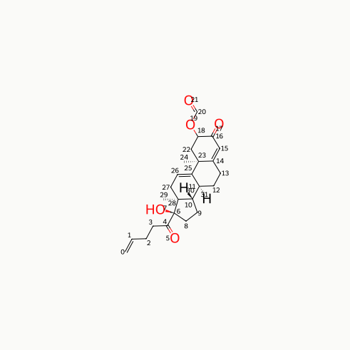 C=CCCC(=O)[C@@]1(O)CC[C@H]2[C@@H]3CCC4=CC(=O)C(OC=O)C[C@]4(C)C3=CC[C@@]21C